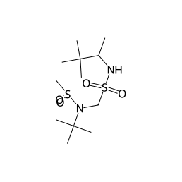 CC(NS(=O)(=O)CN(C(C)(C)C)S(C)(=O)=O)C(C)(C)C